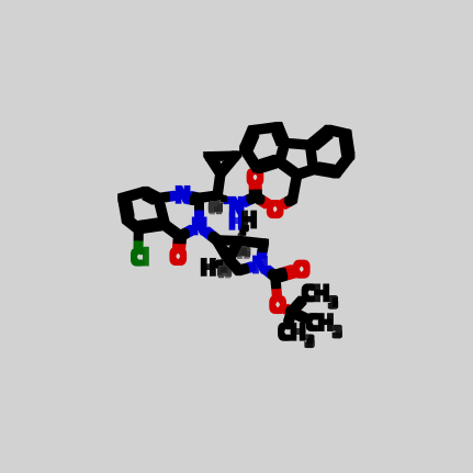 CC(C)(C)OC(=O)N1C[C@@H]2C(n3c([C@@H](NC(=O)OCC4c5ccccc5-c5ccccc54)C4CC4)nc4cccc(Cl)c4c3=O)[C@@H]2C1